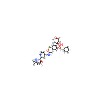 O=C(Cc1cc(OCc2ccccc2)c(C2(O)CCOCC2)cc1F)Nc1ccnc(C(=O)NC2(C(F)(F)F)CC2)c1